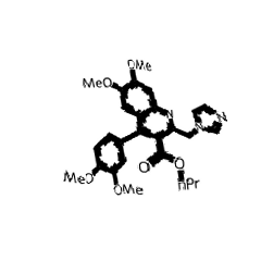 CCCOC(=O)c1c(Cn2ccnc2)nc2cc(OC)c(OC)cc2c1-c1ccc(OC)c(OC)c1